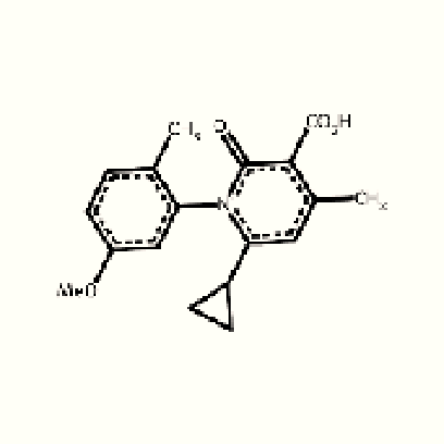 COc1ccc(C)c(-n2c(C3CC3)cc(C)c(C(=O)O)c2=O)c1